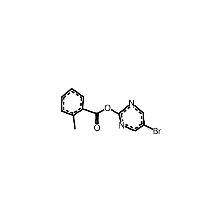 Cc1ccccc1C(=O)Oc1ncc(Br)cn1